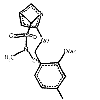 COc1ccc(CNc2cc3cn2C3S(=O)(=O)N(C)C)c(OC)c1